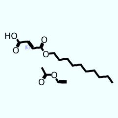 C=COC(C)=O.CCCCCCCCCCOC(=O)/C=C/C(=O)O